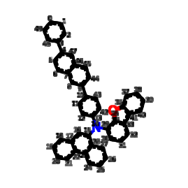 c1ccc(-c2ccc3cc(-c4ccc(N(c5cc6ccccc6c6ccccc56)c5cccc6c5oc5ccccc56)cc4)ccc3c2)cc1